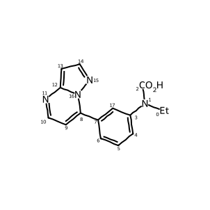 CCN(C(=O)O)c1cccc(-c2ccnc3ccnn23)c1